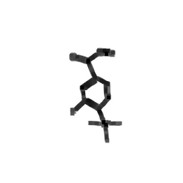 COC(=O)c1ccc([N+](C)(C)C)c(F)c1